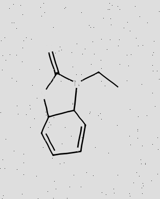 CCN1C(=O)SC2C=CC=CC21